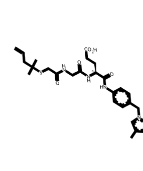 C=CCC(C)(C)SCC(=O)NCC(=O)N[C@@H](CCC(=O)O)C(=O)Nc1ccc(Cn2ccc(C)c2)cc1